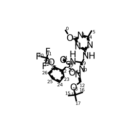 COc1nc(C)nc(NC(=NN=COC(C)(C)C)NS(=O)(=O)c2ccccc2OC(F)(F)F)n1